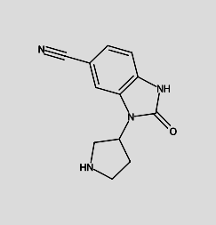 N#Cc1ccc2[nH]c(=O)n(C3CCNC3)c2c1